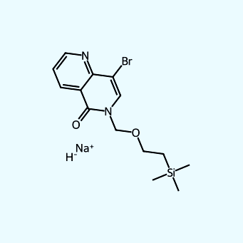 C[Si](C)(C)CCOCn1cc(Br)c2ncccc2c1=O.[H-].[Na+]